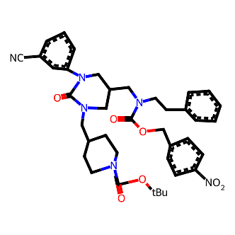 CC(C)(C)OC(=O)N1CCC(CN2CC(CN(CCc3ccccc3)C(=O)OCc3ccc([N+](=O)[O-])cc3)CN(c3cccc(C#N)c3)C2=O)CC1